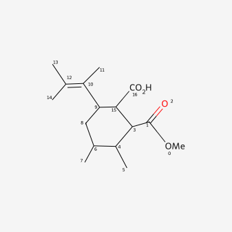 COC(=O)C1C(C)C(C)CC(C(C)=C(C)C)C1C(=O)O